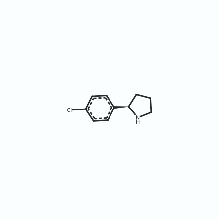 Clc1ccc([C@H]2CCCN2)cc1